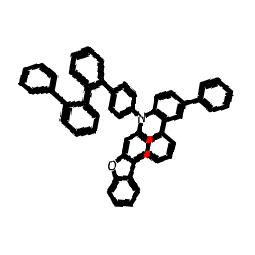 c1ccc(-c2ccc(N(c3ccc(-c4ccccc4-c4ccccc4-c4ccccc4)cc3)c3ccc4c(c3)oc3ccccc34)c(-c3ccccc3)c2)cc1